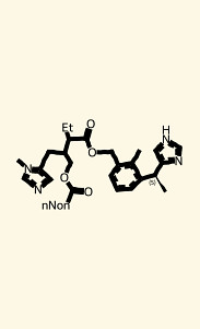 CCCCCCCCCC(=O)OCC(Cc1cncn1C)C(CC)C(=O)OCc1cccc([C@H](C)c2c[nH]cn2)c1C